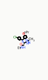 CCCOc1ccc2c(c1)C(c1ccc(Cl)cc1)=N[C@@H](CC(=O)NCC)c1nnc(C)n1-2